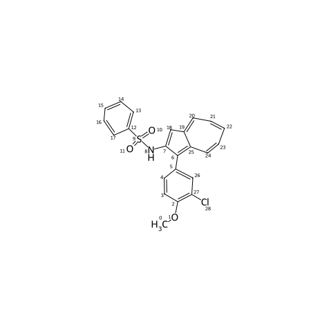 COc1ccc(-c2c(NS(=O)(=O)c3ccccc3)cc3cccccc2-3)cc1Cl